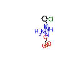 CS(=O)(=O)CCO/N=C(\N)N/N=C/c1ccccc1Cl